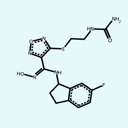 NC(=O)NCCSc1nonc1C(=NO)NC1CCc2ccc(F)cc21